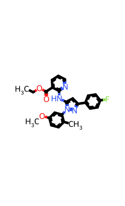 CCOC(=O)c1cccnc1Nc1cc(-c2ccc(F)cc2)nn1-c1cc(OC)ccc1C